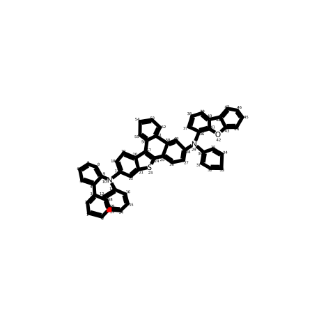 c1ccc(-c2ccccc2N(c2ccccc2)c2ccc3c(c2)sc2c4ccc(N(c5ccccc5)c5cccc6c5oc5ccccc56)cc4c4ccccc4c32)cc1